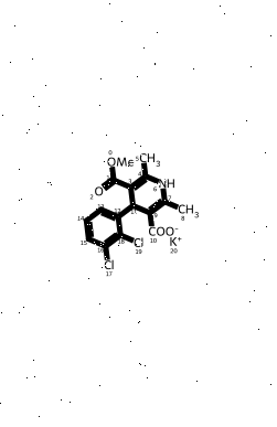 COC(=O)C1=C(C)NC(C)=C(C(=O)[O-])C1c1cccc(Cl)c1Cl.[K+]